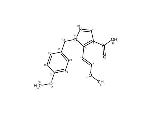 CO/C=C/c1c(C(=O)O)cnn1Cc1ccc(OC)cc1